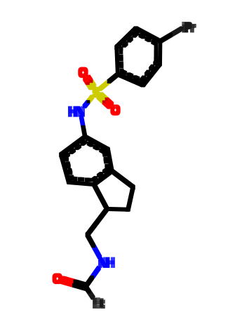 CCC(=O)NCC1CCc2cc(NS(=O)(=O)c3ccc(C(C)C)cc3)ccc21